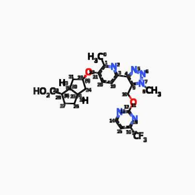 Cc1nc(-c2nnn(C)c2COc2nccc(C(F)(F)F)n2)ccc1O[C@H]1C[C@H]2CC[C@@H](C(=O)O)[C@H]2C1